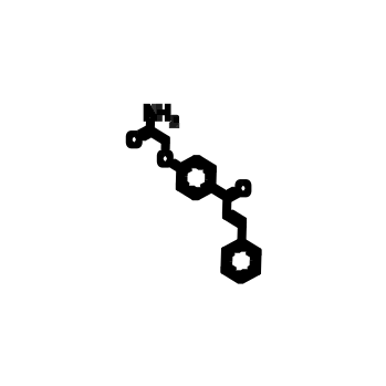 NC(=O)COc1ccc(C(=O)/C=C/c2ccccc2)cc1